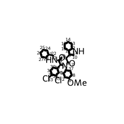 COc1ccc(N(C(=O)Cc2c[nH]c3ccccc23)C(C(=O)NCc2ccccc2)c2ccc(Cl)c(Cl)c2)cc1